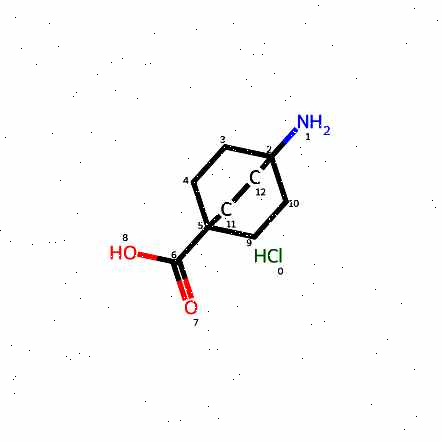 Cl.NC12CCC(C(=O)O)(CC1)CC2